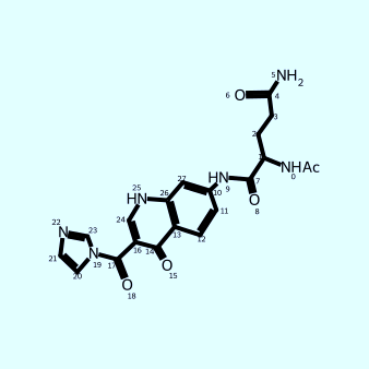 CC(=O)NC(CCC(N)=O)C(=O)Nc1ccc2c(=O)c(C(=O)n3ccnc3)c[nH]c2c1